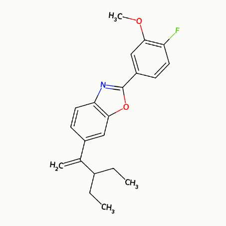 C=C(c1ccc2nc(-c3ccc(F)c(OC)c3)oc2c1)C(CC)CC